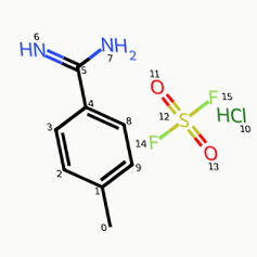 Cc1ccc(C(=N)N)cc1.Cl.O=S(=O)(F)F